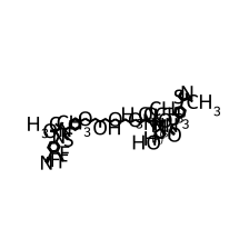 Cc1ncsc1-c1ccc(CNC(=O)[C@@H]2C[C@@H](O)CN2C(=O)[C@@H](NC(=O)COCCCOCCC(O)CCOc2ccc(N3C(=S)N(c4ccc(C#N)c(C(F)(F)F)c4)C(=O)C3(C)C)cc2)C(C)(C)C)cc1